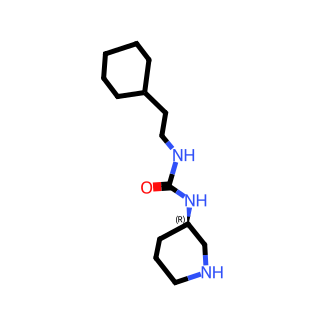 O=C(NCCC1CCCCC1)N[C@@H]1CCCNC1